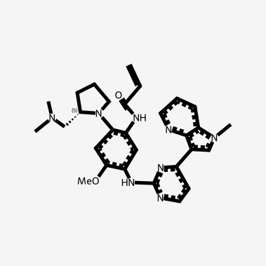 C=CC(=O)Nc1cc(Nc2nccc(-c3cn(C)c4cccnc34)n2)c(OC)cc1N1CCC[C@H]1CN(C)C